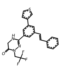 O=C1CNC(c2cc(C=Cc3ccccc3)cc(-c3ccsc3)c2)=NN1CC(F)(F)F